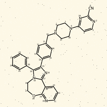 N#Cc1nccc(N2CCN(Cc3ccc(-c4nc5n(c4-c4ccccc4)CCOc4ncccc4-5)cc3)CC2)n1